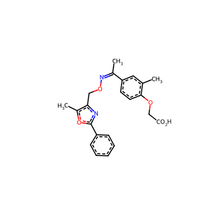 CC(=NOCc1nc(-c2ccccc2)oc1C)c1ccc(OCC(=O)O)c(C)c1